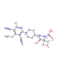 CCc1c(C#N)c(Cl)nc(N2CCC(NC(=O)C3(NC(=O)O)COC3)CC2)c1C#N